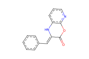 O=C1Oc2ncccc2NC1=Cc1ccccc1